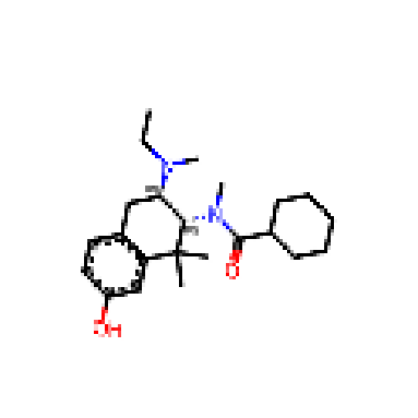 CCN(C)[C@@H]1Cc2ccc(O)cc2C(C)(C)[C@H]1N(C)C(=O)C1CCCCC1